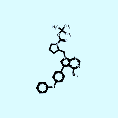 CC(C)(C)OC(=O)N1CCCC1Cn1cc(-c2ccc(Oc3ccccc3)cc2)c2c(N)ncnc21